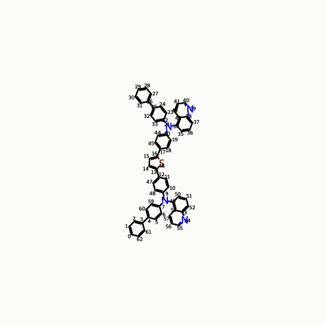 c1ccc(-c2ccc(N(c3ccc(-c4ccc(-c5ccc(N(c6ccc(-c7ccccc7)cc6)c6cccc7ncccc67)cc5)s4)cc3)c3cccc4ncccc34)cc2)cc1